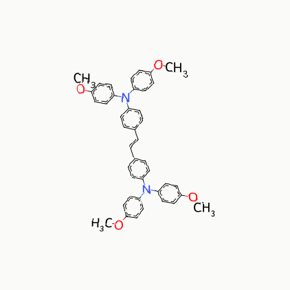 COc1ccc(N(c2ccc(C=Cc3ccc(N(c4ccc(OC)cc4)c4ccc(OC)cc4)cc3)cc2)c2ccc(OC)cc2)cc1